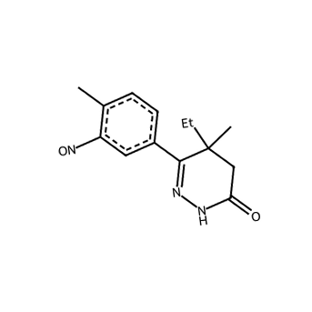 CCC1(C)CC(=O)NN=C1c1ccc(C)c(N=O)c1